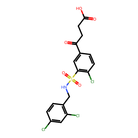 O=C(O)CCC(=O)c1ccc(Cl)c(S(=O)(=O)NCc2ccc(Cl)cc2Cl)c1